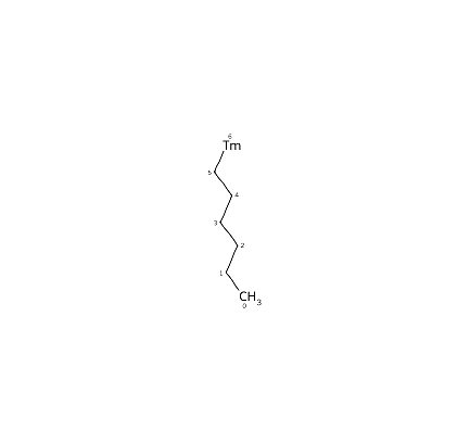 CCCCC[CH2][Tm]